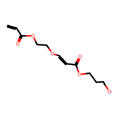 C=CC(=O)OCCOC=CC(=O)OCCC[O]